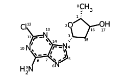 C[C@H]1O[C@@H](n2cnc3c(N)nc(Cl)nc32)CC1O